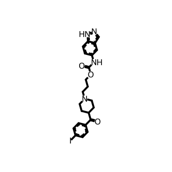 O=C(Nc1ccc2[nH]ncc2c1)OCCCN1CCC(C(=O)c2ccc(I)cc2)CC1